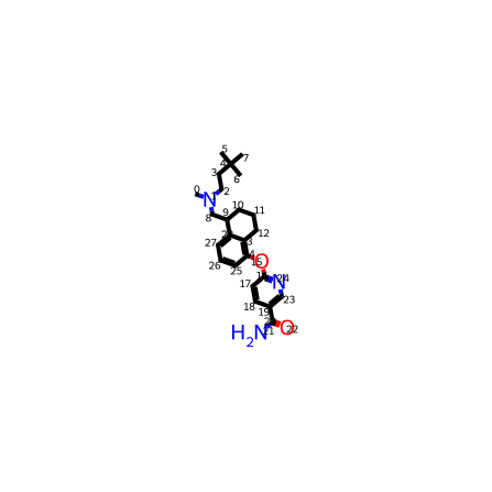 CN(CCC(C)(C)C)CC1CCCc2c(Oc3ccc(C(N)=O)cn3)cccc21